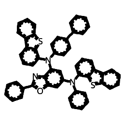 c1ccc(-c2ccc(N(c3cc(N(c4ccccc4)c4cccc5c4sc4ccccc45)cc4oc(-c5ccccc5)nc34)c3cccc4c3sc3ccccc34)cc2)cc1